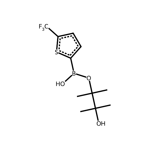 CC(C)(O)C(C)(C)OB(O)c1ccc(C(F)(F)F)s1